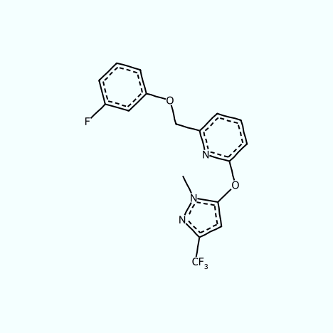 Cn1nc(C(F)(F)F)cc1Oc1cccc(COc2cccc(F)c2)n1